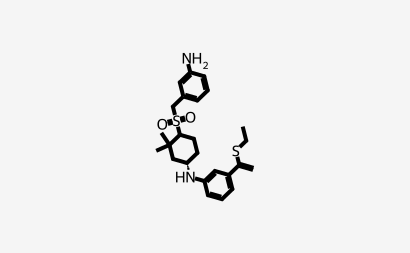 C=C(SCC)c1cccc(N[C@H]2CCC(S(=O)(=O)Cc3cccc(N)c3)C(C)(C)C2)c1